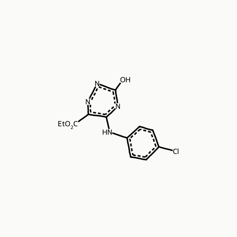 CCOC(=O)c1nnc(O)nc1Nc1ccc(Cl)cc1